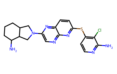 Nc1nccc(Sc2ccc3nc(N4CC5CCCC(N)C5C4)cnc3n2)c1Cl